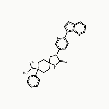 CN(C)[C@]1(c2ccccc2)CC[C@]2(CC1)CN(c1cnc(-n3ccc4cccnc43)nc1)C(=O)N2